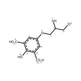 O=C(O)c1cc(OCC(O)CCl)cc(C(=O)O)c1O